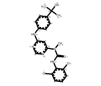 CN(C(=O)Nc1c(Cl)cccc1Cl)c1cc(Nc2ccc(C(C)(C)O)cc2)ncn1